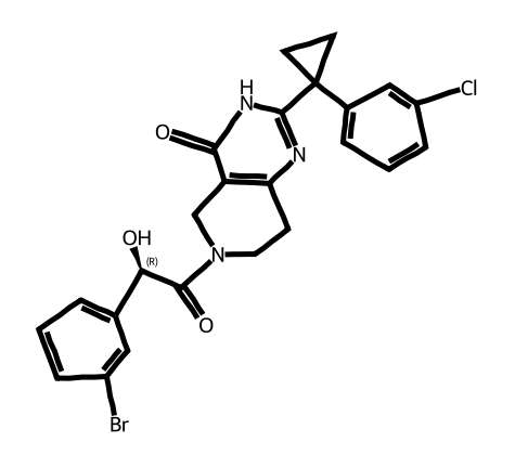 O=C([C@H](O)c1cccc(Br)c1)N1CCc2nc(C3(c4cccc(Cl)c4)CC3)[nH]c(=O)c2C1